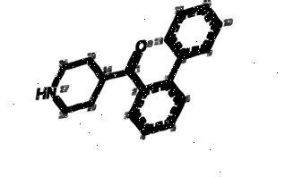 O=C(c1ccccc1-c1ccccc1)C1CCNCC1